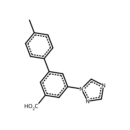 Cc1ccc(-c2cc(C(=O)O)cc(-n3cncn3)c2)cc1